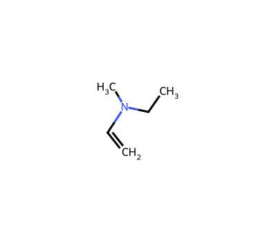 C=CN(C)CC